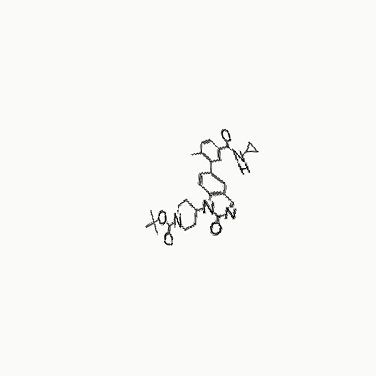 Cc1ccc(C(=O)NC2CC2)cc1-c1ccc2c(cnc(=O)n2C2CCN(C(=O)OC(C)(C)C)CC2)c1